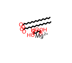 CCCCCCCCCCCCCCCC(=O)[O-].CCCCCCCCCCCCCCCC(=O)[O-].O=C(O)CC(O)C(=O)O.[Mg+2]